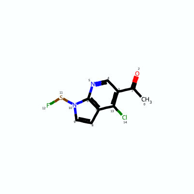 CC(=O)c1cnc2c(ccn2SF)c1Cl